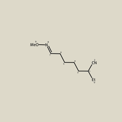 CCC(C#N)CCCCC=NOC